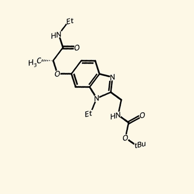 CCNC(=O)[C@@H](C)Oc1ccc2nc(CNC(=O)OC(C)(C)C)n(CC)c2c1